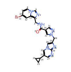 O=C(NCc1ncn2ccc(Br)cc12)c1cnn(Cc2cn3cc(C4CC4)cnc3n2)c1